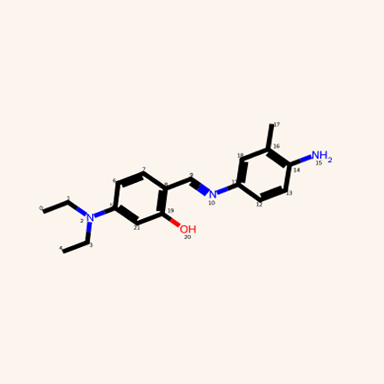 CCN(CC)c1ccc(/C=N/c2ccc(N)c(C)c2)c(O)c1